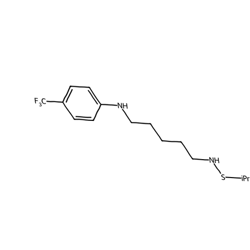 CC(C)SNCCCCCNc1ccc(C(F)(F)F)cc1